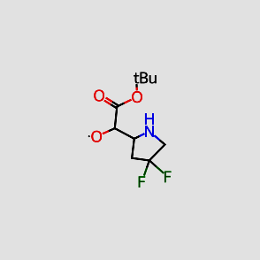 CC(C)(C)OC(=O)C([O])C1CC(F)(F)CN1